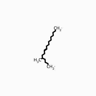 [CH2]CCCCCCCCC=CCCC(C)CCC[CH2]